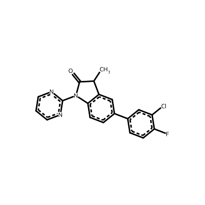 CC1C(=O)N(c2ncccn2)c2ccc(-c3ccc(F)c(Cl)c3)cc21